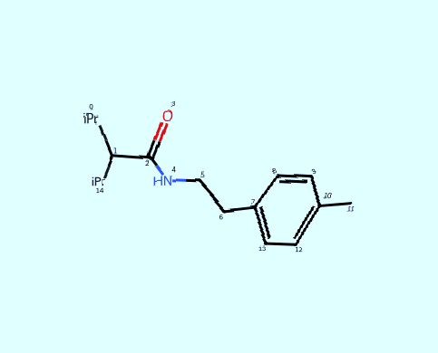 [CH2]C(C)C(C(=O)NCCc1ccc(C)cc1)C(C)C